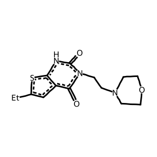 CCc1cc2c(=O)n(CCN3CCOCC3)c(=O)[nH]c2s1